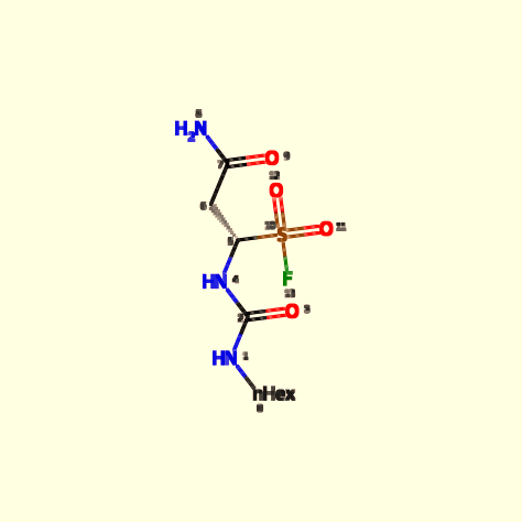 CCCCCCNC(=O)N[C@H](CC(N)=O)S(=O)(=O)F